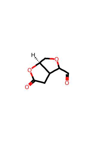 O=CC1OC[C@@H]2OC(=O)CC12